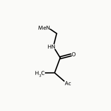 CNCNC(=O)C(C)C(C)=O